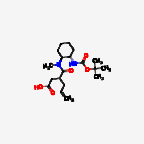 C=CCC(CC(=O)O)C(=O)N(C)[C@H]1CCCC[C@@H]1NC(=O)OC(C)(C)C